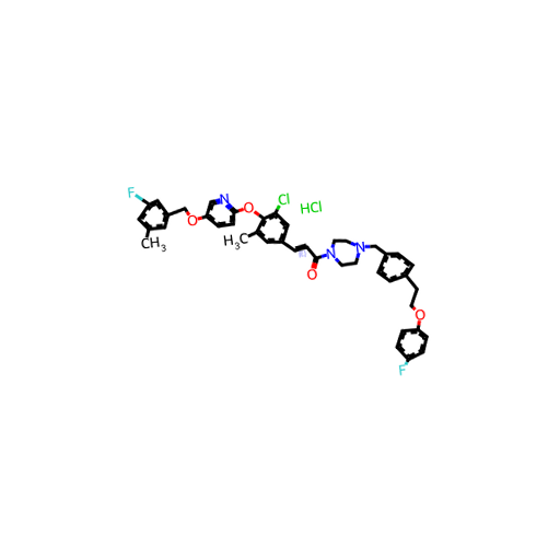 Cc1cc(F)cc(COc2ccc(Oc3c(C)cc(/C=C/C(=O)N4CCN(Cc5ccc(CCOc6ccc(F)cc6)cc5)CC4)cc3Cl)nc2)c1.Cl